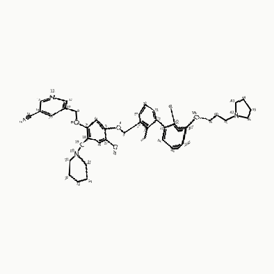 Cc1c(COc2cc(OCc3cncc(C#N)c3)c(CN3CCCCC3)cc2Cl)cccc1-c1cccc(OCCCN2CCCC2)c1C